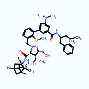 COc1c(CN2O[C@@H](CO)[C@H]([C@H](C)O)[C@H]2C(=O)N[C@H]2C[C@H]3C[C@@H]([C@@H]2C)C3(C)C)cccc1-c1cc(C(=O)NC(Cc2ccccc2)CC(C)C)cc(N(C)C)c1